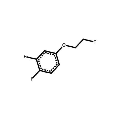 FCCOc1ccc(I)c(F)c1